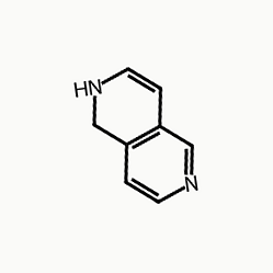 C1=Cc2cnccc2CN1